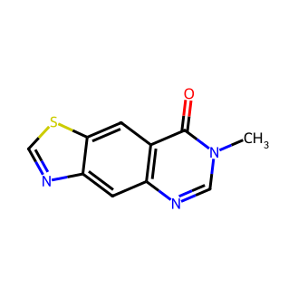 Cn1cnc2cc3ncsc3cc2c1=O